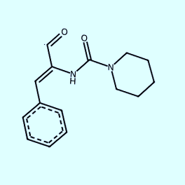 O=[C]C(=Cc1ccccc1)NC(=O)N1CCCCC1